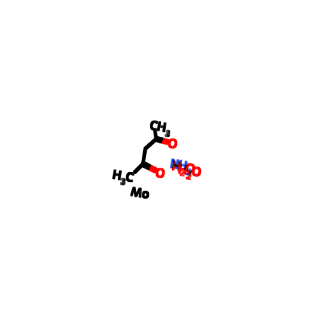 CC(=O)CC(C)=O.N.O.O.[Mo]